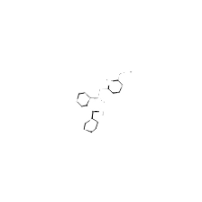 Cl.N[C@@H](Cc1cccc(CO)n1)c1ccccc1-c1noc2ccccc12